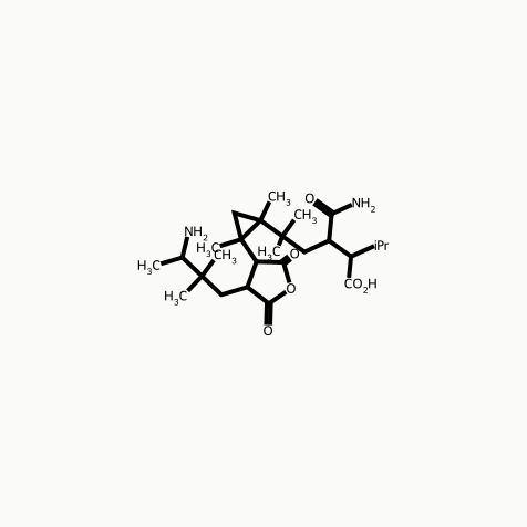 CC(C)C(C(=O)O)C(CC(C)(C)C1(C)CC1(C)C1C(=O)OC(=O)C1CC(C)(C)C(C)N)C(N)=O